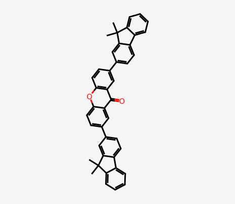 CC1(C)c2ccccc2-c2ccc(-c3ccc4oc5ccc(-c6ccc7c(c6)C(C)(C)c6ccccc6-7)cc5c(=O)c4c3)cc21